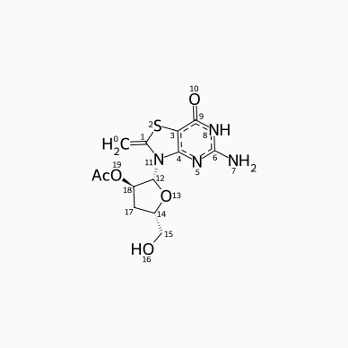 C=C1Sc2c(nc(N)[nH]c2=O)N1[C@@H]1O[C@H](CO)C[C@H]1OC(C)=O